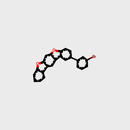 Brc1cccc(-c2ccc3oc4cc5oc6ccccc6c5cc4c3c2)c1